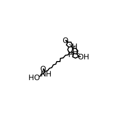 C[C@]12CCC(=O)CC1CC(CCCCCCCCCCCC(=O)NCCO)[C@@H]1[C@H]2CC[C@]2(C)C(O)CC[C@@H]12